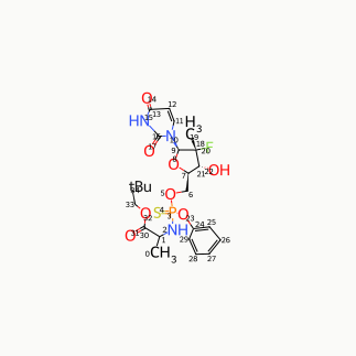 CC(NP(=S)(OC[C@H]1O[C@@H](n2ccc(=O)[nH]c2=O)[C@](C)(F)[C@@H]1O)Oc1ccccc1)C(=O)OCC(C)(C)C